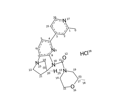 Cc1cc(-c2ccc3c(n2)N(C(=O)N2CCO[C@@H](C)C2)[C@H]2CCN3C2)ccn1.Cl